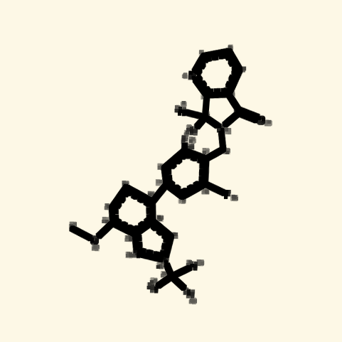 [2H]C1([2H])c2ncccc2C(=O)N1Cc1c(F)cc(-c2ccc(OC)c3nn(C([2H])([2H])[2H])cc23)cc1F